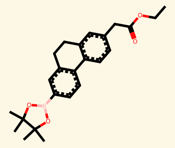 CCOC(=O)Cc1ccc2c(c1)CCc1cc(B3OC(C)(C)C(C)(C)O3)ccc1-2